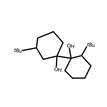 CC(C)(C)C1CCCC(O)(C2(O)CCCCC2C(C)(C)C)C1